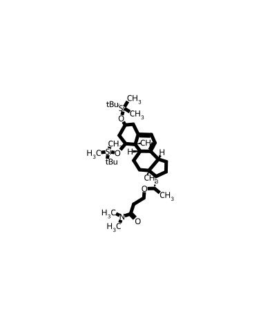 CC(OCCC(=O)N(C)C)[C@H]1CC[C@H]2C3=CC=C4CC(O[Si](C)(C)C(C)(C)C)CC(O[Si](C)(C)C(C)(C)C)[C@]4(C)[C@H]3CC[C@]12C